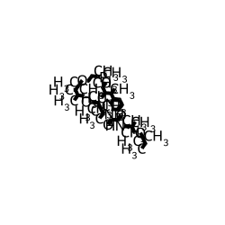 CCC(C)(C)OCC(C)C(C)(C)NC(=O)C(=O)NC(C)C(C)(C)CC(C)(C)OCC(C)C(C)C(C)(C)OCCC(C)(C)P(C)OCC(C)C(C)c1ccccn1